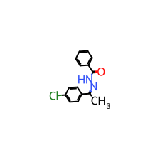 CC(=NNC(=O)c1ccccc1)c1ccc(Cl)cc1